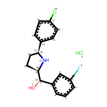 Cl.O[C@@H](c1cccc(F)c1)[C@H]1CC[C@@H](c2ccc(Cl)cc2)N1